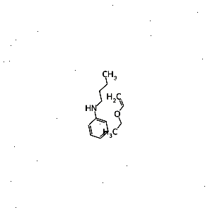 C=COCC.CCCCNc1ccccc1